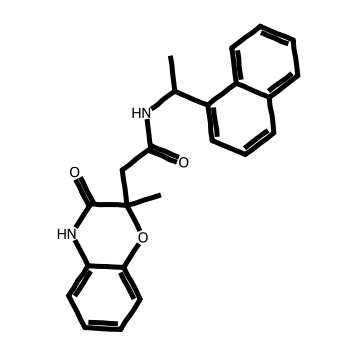 CC(NC(=O)CC1(C)Oc2ccccc2NC1=O)c1cccc2ccccc12